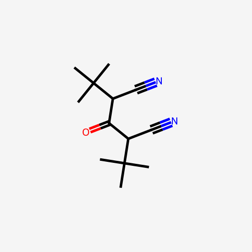 CC(C)(C)C(C#N)C(=O)C(C#N)C(C)(C)C